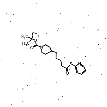 CC(C)(C)OC(=O)N1CCC(CCCCC(=O)Sc2ccccn2)CC1